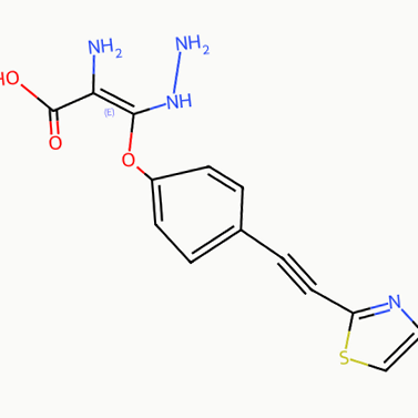 NN/C(Oc1ccc(C#Cc2nccs2)cc1)=C(\N)C(=O)O